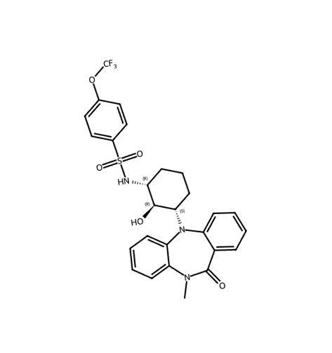 CN1C(=O)c2ccccc2N([C@H]2CCC[C@@H](NS(=O)(=O)c3ccc(OC(F)(F)F)cc3)[C@@H]2O)c2ccccc21